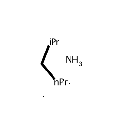 CCCCC(C)C.N